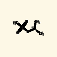 C[C@@H](OS(=O)(=O)C(F)(F)F)C(F)(F)F